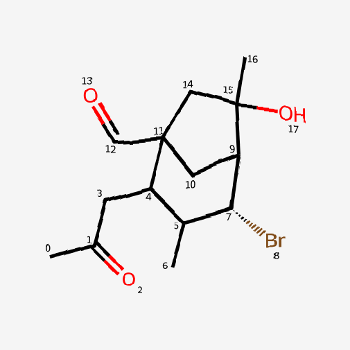 CC(=O)CC1C(C)[C@@H](Br)C2CC1(C=O)CC2(C)O